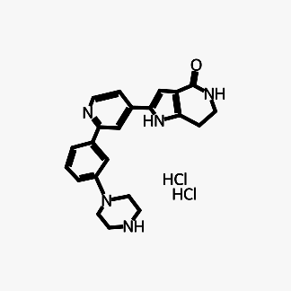 Cl.Cl.O=C1NCCc2[nH]c(-c3ccnc(-c4cccc(N5CCNCC5)c4)c3)cc21